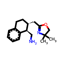 CC1(C)COC(C[C@H]2CCc3ccccc3[C@@H]2CN)=N1